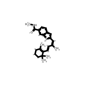 CNC(=O)c1ccc2cc(C=C(C)C=CC3=C(C)CCCC3(C)C)sc2c1